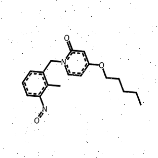 CCCCCOc1ccn(Cc2cccc(N=O)c2C)c(=O)c1